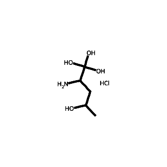 CC(O)CC(N)C(O)(O)O.Cl